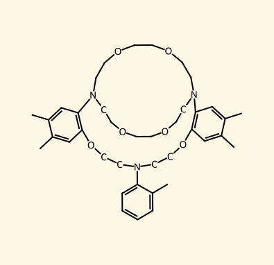 Cc1cc2c(cc1C)N1CCOCCOCCN(CCOCCOCC1)c1cc(C)c(C)cc1OCCN(c1ccccc1C)CCO2